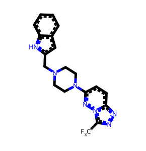 FC(F)(F)c1nnc2ccc(N3CCN(Cc4cc5ccccc5[nH]4)CC3)nn12